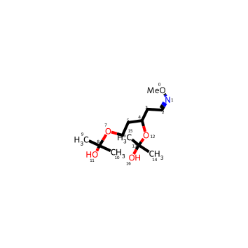 CO/N=C\CC(CCOC(C)(C)O)OC(C)(C)O